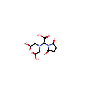 O=C(O)CN(CC(=O)O)C(C(=O)O)N1C(=O)CCC1=O